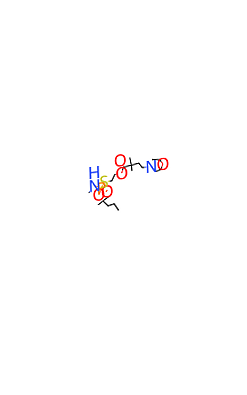 CCCC(C)(C)OP(=O)(NC)SCCOC(=O)C(C)(C)CCN1CCOCC1